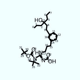 CCCC(O)(CCC)CCc1cccc(CCCNC(=NC(=O)O)N(C(=O)OC(C)(C)C)C(C)(C)C)c1